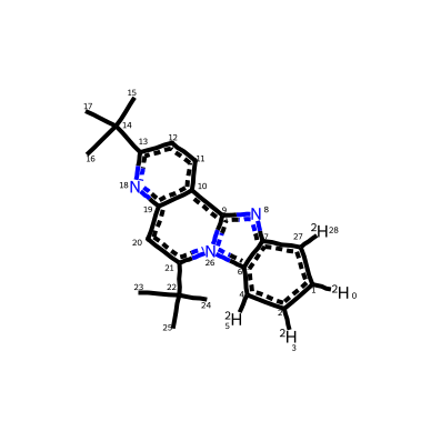 [2H]c1c([2H])c([2H])c2c(nc3c4ccc(C(C)(C)C)nc4cc(C(C)(C)C)n32)c1[2H]